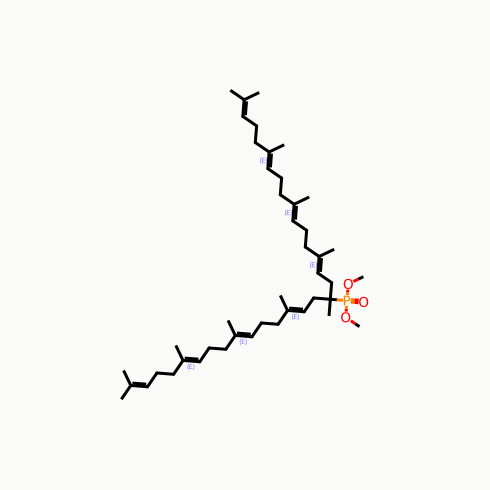 COP(=O)(OC)C(C)(C/C=C(\C)CC/C=C(\C)CC/C=C(\C)CCC=C(C)C)C/C=C(\C)CC/C=C(\C)CC/C=C(\C)CCC=C(C)C